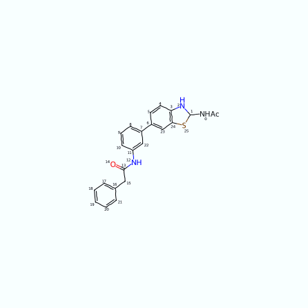 CC(=O)NC1Nc2ccc(-c3cccc(NC(=O)Cc4ccccc4)c3)cc2S1